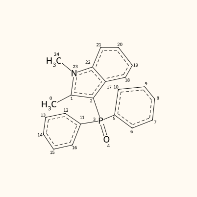 Cc1c(P(=O)(c2ccccc2)c2ccccc2)c2ccccc2n1C